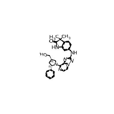 CC1(C)C(=O)Nc2cc(Nc3nc4c(N5C[C@H](CO)C[C@H]5c5ccccc5)nccn4n3)ccc21